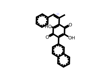 C/C(=C/c1ccccc1)C1=C(O)C(=O)C(c2ccc3ccccc3c2)=C(O)C1=O